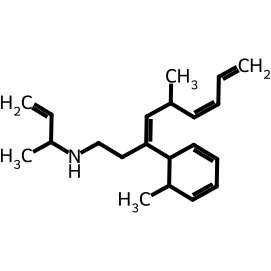 C=C/C=C\C(C)/C=C(/CCNC(C)C=C)C1C=CC=CC1C